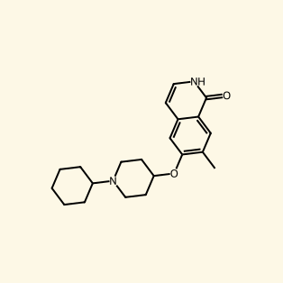 Cc1cc2c(=O)[nH]ccc2cc1OC1CCN(C2CCCCC2)CC1